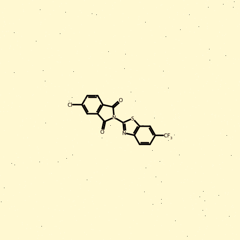 O=C1c2ccc(Cl)cc2C(=O)N1c1nc2ccc(C(F)(F)F)cc2s1